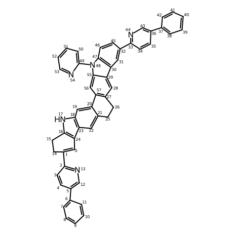 C1=C(c2ccc(-c3ccccc3)cn2)CCc2[nH]c3cc4c(cc3c21)CCc1cc2c3cc(-c5ccc(-c6ccccc6)cn5)ccc3n(-c3ccccn3)c2cc1-4